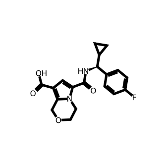 O=C(O)c1cc(C(=O)N[C@H](c2ccc(F)cc2)C2CC2)n2c1COCC2